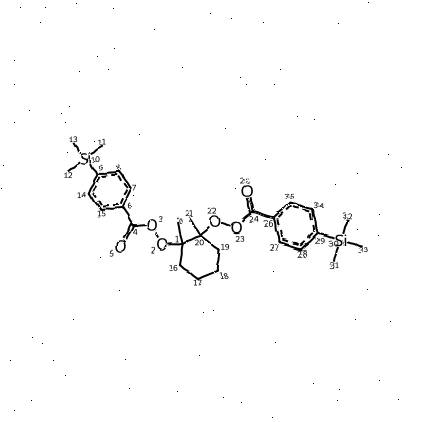 [CH2]C1(OOC(=O)c2ccc([Si](C)(C)C)cc2)CCCCC1([CH2])OOC(=O)c1ccc([Si](C)(C)C)cc1